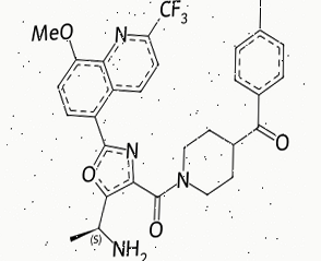 COc1ccc(-c2nc(C(=O)N3CCC(C(=O)c4ccc(C)cc4)CC3)c([C@H](C)N)o2)c2ccc(C(F)(F)F)nc12